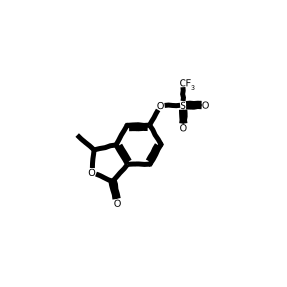 CC1OC(=O)c2ccc(OS(=O)(=O)C(F)(F)F)cc21